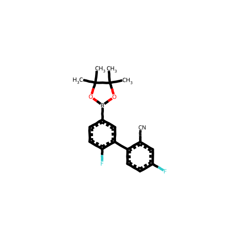 CC1(C)OB(c2ccc(F)c(-c3ccc(F)cc3C#N)c2)OC1(C)C